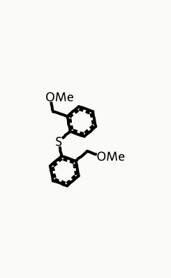 COCc1ccccc1Sc1ccccc1COC